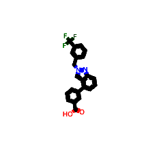 O=C(O)c1cccc(-c2cccc3nn(Cc4cccc(C(F)(F)F)c4)cc23)c1